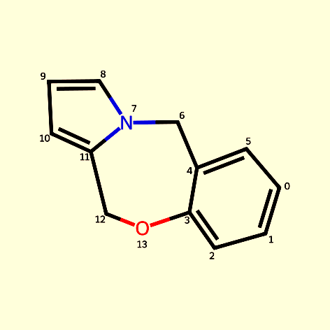 c1ccc2c(c1)Cn1cccc1CO2